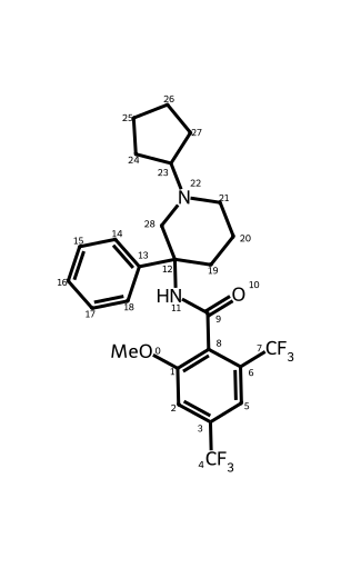 COc1cc(C(F)(F)F)cc(C(F)(F)F)c1C(=O)NC1(c2ccccc2)CCCN(C2CCCC2)C1